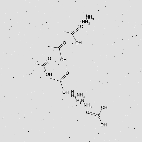 CC(=O)O.CC(=O)O.CC(=O)O.CC(=O)O.N.N.N.N.N.N.O=S(O)O